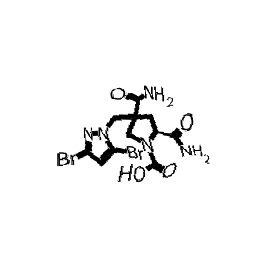 NC(=O)[C@@H]1CC(Cn2nc(Br)cc2Br)(C(N)=O)CN1C(=O)O